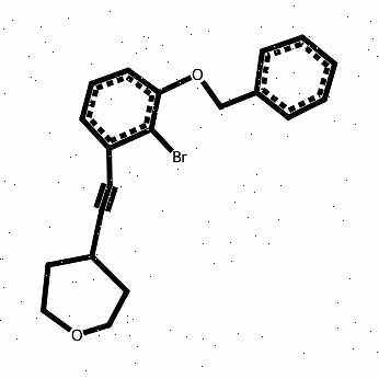 Brc1c(C#CC2CCOCC2)cccc1OCc1ccccc1